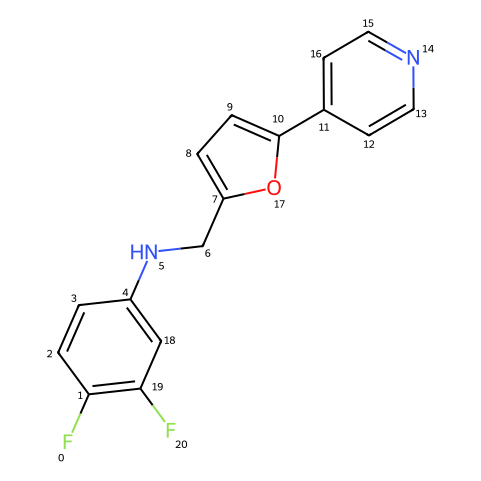 Fc1ccc(NCc2ccc(-c3ccncc3)o2)cc1F